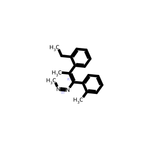 CCc1ccccc1/C(C)=C(/N=N\C)c1ccccc1C